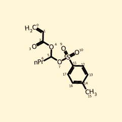 C=CC(=O)OC(CCC)OS(=O)(=O)c1ccc(C)cc1